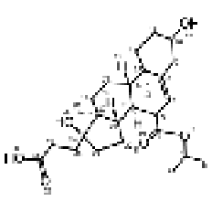 CC(C)OC(=O)C1C=C2CC(O)CC[C@]2(C)[C@H]2CC[C@@]3(C)[C@@H](CC[C@]3(O)CCC(=O)O)[C@H]12